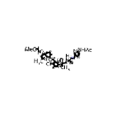 COCCOc1cc(C)nc2c(OCc3c(Cl)ccc(N(C)C(=O)CNC(=O)/C=C/c4ccc(NC(C)=O)nc4)c3Cl)cccc12